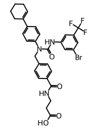 O=C(O)CCNC(=O)c1ccc(CN(C(=O)Nc2cc(Br)cc(C(F)(F)F)c2)c2ccc(C3=CCCCC3)cc2)cc1